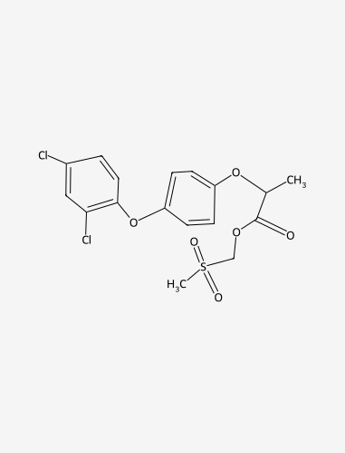 CC(Oc1ccc(Oc2ccc(Cl)cc2Cl)cc1)C(=O)OCS(C)(=O)=O